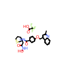 Cc1cc(COc2ccc(C(=O)NC3(CC(=O)NO)CCCSC3)cc2)c2ccccc2n1.O=C(O)C(F)(F)F